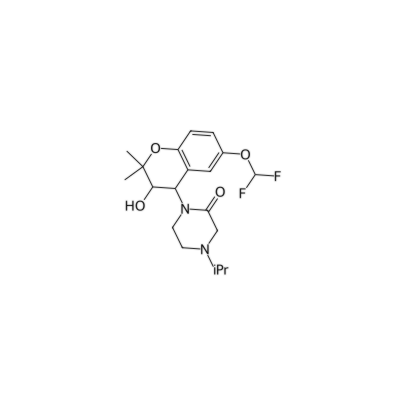 CC(C)N1CCN(C2c3cc(OC(F)F)ccc3OC(C)(C)C2O)C(=O)C1